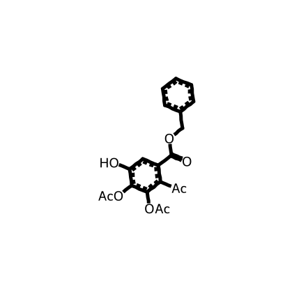 CC(=O)Oc1c(O)cc(C(=O)OCc2ccccc2)c(C(C)=O)c1OC(C)=O